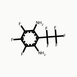 Nc1c(F)c(F)c(F)c(N)c1C(F)(F)C(F)(F)F